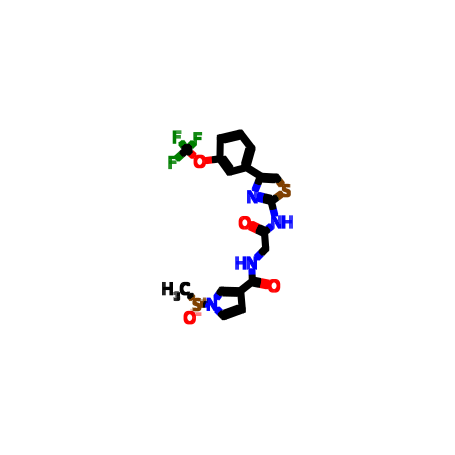 C[S+]([O-])n1ccc(C(=O)NCC(=O)Nc2nc(-c3cccc(OC(F)(F)F)c3)cs2)c1